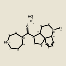 Cl.Cl.O=C(C1CSC23C=CC=CC2N(Cl)CCC13)N1CCCNCC1